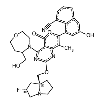 Cc1c(-c2cc(O)cc3cccc(C#N)c23)oc(=O)c2c(N3CCOCCC3CO)nc(OC[C@@]34CCCN3C[C@H](F)C4)nc12